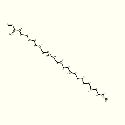 C=CC(=O)OCCOCCOCCOCCOCCOCCOCCOCCOO